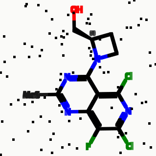 CSc1nc(N2CC[C@@H]2CO)c2c(Cl)nc(Cl)c(F)c2n1